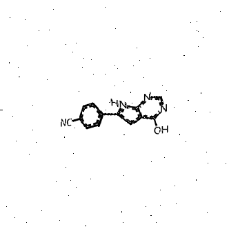 N#Cc1ccc(-c2cc3c(O)ncnc3[nH]2)cc1